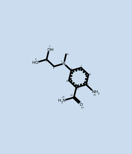 CN(CC(O)O)c1ccc(N)c(C(N)=O)c1